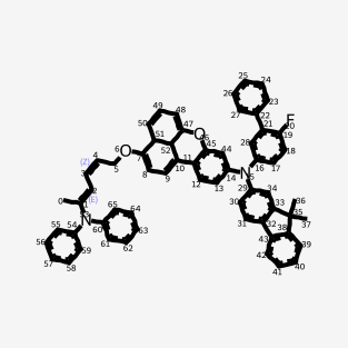 C/C(=C\C=C/COC1=CC=C2c3ccc(N(c4ccc(F)c(-c5ccccc5)c4)c4ccc5c(c4)C(C)(C)c4ccccc4-5)cc3OC3=CC=CC1C32)N(c1ccccc1)c1ccccc1